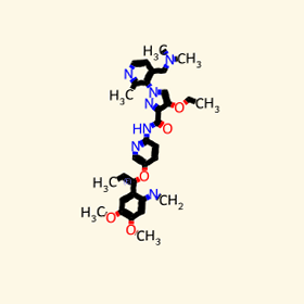 C=Nc1cc(OC)c(OC)cc1/C(=C\C)Oc1ccc(NC(=O)c2nn(-c3c(CN(C)C)ccnc3C)cc2OCC)nc1